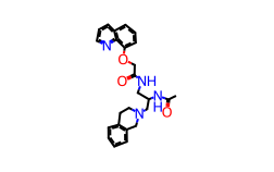 CC(=O)NC(CNC(=O)COc1cccc2cccnc12)CN1CCc2ccccc2C1